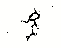 O=C(CC(=O)C1CC1)c1ccc(C(F)(F)F)cc1CS